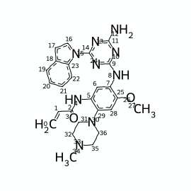 C=CC(=O)Nc1cc(Nc2nc(N)nc(-n3ccc4ccccc43)n2)c(OC)cc1N1CCN(C)CC1